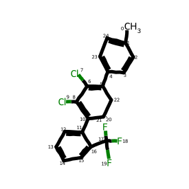 Cc1ccc(C2=C(Cl)C(Cl)=C(c3ccccc3C(F)(F)F)[CH]C2)cc1